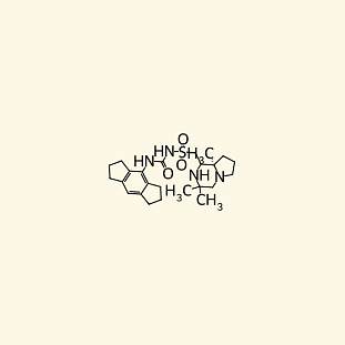 CC1(C)CN2CCC[C@]2(C)C(CS(=O)(=O)NC(=O)Nc2c3c(cc4c2CCC4)CCC3)N1